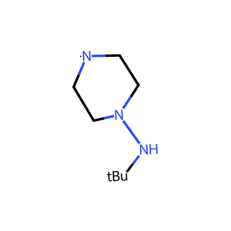 CC(C)(C)NN1CC[N]CC1